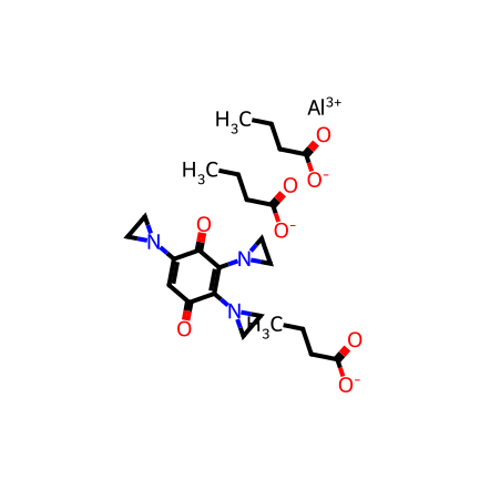 CCCC(=O)[O-].CCCC(=O)[O-].CCCC(=O)[O-].O=C1C=C(N2CC2)C(=O)C(N2CC2)=C1N1CC1.[Al+3]